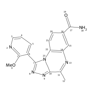 COc1ncccc1-c1nnc2c(C)nc3cc(C(N)=O)ccc3n12